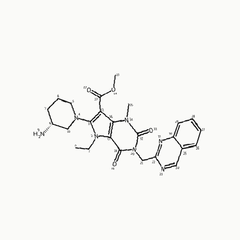 CCn1c(N2CCC[C@@H](N)C2)c(C(=O)OC)c2c1c(=O)n(Cc1ncc3ccccc3n1)c(=O)n2C